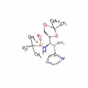 CC(c1ccccn1)[C@@H](N[S+]([O-])C(C)(C)C)[C@H]1COC(C)(C)O1